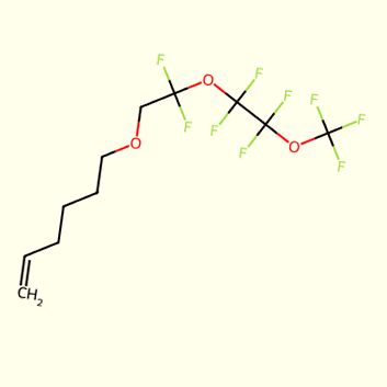 C=CCCCCOCC(F)(F)OC(F)(F)C(F)(F)OC(F)(F)F